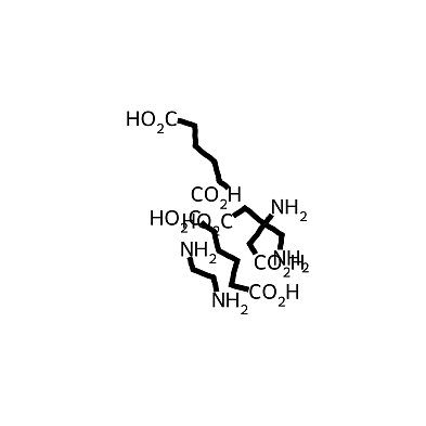 NCC(N)(CC(=O)O)CC(=O)O.NCCN.O=C(O)CCCCC(=O)O.O=C(O)CCCCC(=O)O